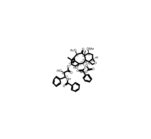 COC(=O)O[C@@]12CO[C@@H]1C[C@H](OC)[C@@]1(C)C(=O)[C@H](OC(C)=O)C3=C(C)[C@@H](OC(=O)[C@H](O)[C@@H](NC(=O)c4ccccc4)c4ccccc4)C[C@@](O)([C@@H](OC(=O)c4ccccc4)[C@H]21)C3(C)C